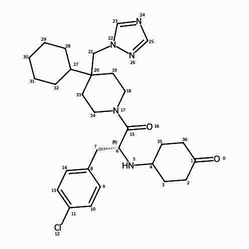 O=C1CCC(N[C@H](Cc2ccc(Cl)cc2)C(=O)N2CCC(Cn3cncn3)(C3CCCCC3)CC2)CC1